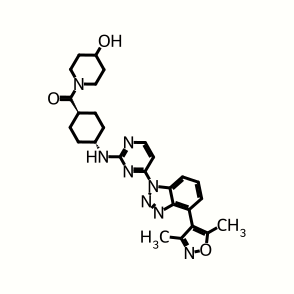 Cc1noc(C)c1-c1cccc2c1nnn2-c1ccnc(N[C@H]2CC[C@H](C(=O)N3CCC(O)CC3)CC2)n1